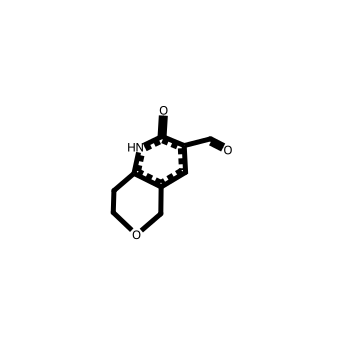 O=Cc1cc2c([nH]c1=O)CCOC2